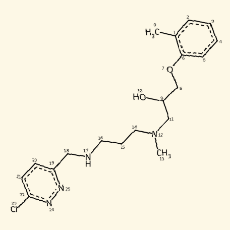 Cc1ccccc1OCC(O)CN(C)CCCNCc1ccc(Cl)nn1